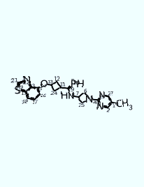 Cc1cnc(N2CC(NC(=P)C3CC(Oc4cccc5scnc45)C3)C2)nc1